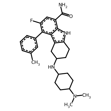 Cc1cccc(-c2c(F)cc(C(N)=O)c3[nH]c4c(c23)CC(NC2CCC(N(C)C)CC2)CC4)c1